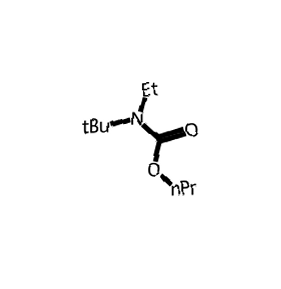 CCCOC(=O)N(CC)C(C)(C)C